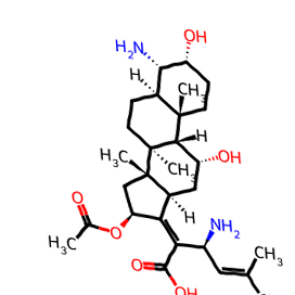 CC(=O)O[C@H]1C[C@@]2(C)[C@@H](C[C@@H](O)[C@H]3[C@@]4(C)CC[C@@H](O)[C@@H](N)[C@@H]4CC[C@@]32C)/C1=C(/C(=O)O)[C@@H](N)C=C(C)C